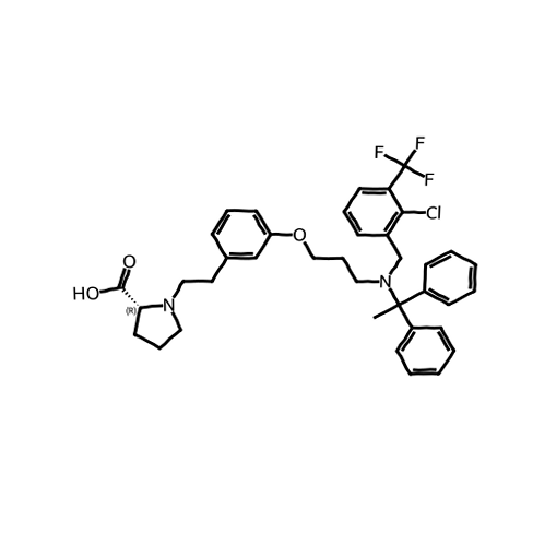 CC(c1ccccc1)(c1ccccc1)N(CCCOc1cccc(CCN2CCC[C@@H]2C(=O)O)c1)Cc1cccc(C(F)(F)F)c1Cl